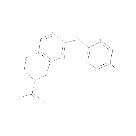 O=C(O)N1CCc2cnc(Nc3cnc(Cl)cn3)nc2C1